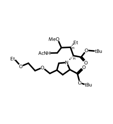 CCOCCOCC1CC(C(=O)OC(C)(C)C)N([C@@H](C(=O)OC(C)(C)C)[C@@H](CC)C(CNC(C)=O)OC)C1